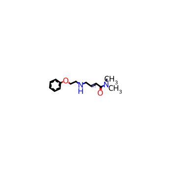 CN(C)C(=O)/C=C/CNCCOc1ccccc1